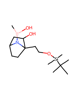 CB(O)N1C2CCC1(CCO[Si](C)(C)C(C)(C)C)C(O)C2